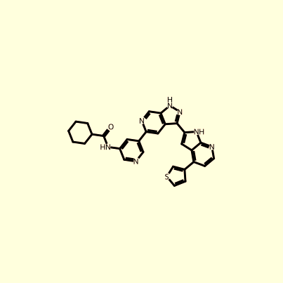 O=C(Nc1cncc(-c2cc3c(-c4cc5c(-c6ccsc6)ccnc5[nH]4)n[nH]c3cn2)c1)C1CCCCC1